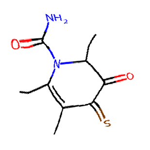 CC1=C(C)N(C(N)=O)C(C)C(=O)C1=S